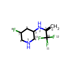 C=C(NC1CNCC(F)C1)C(F)(F)F